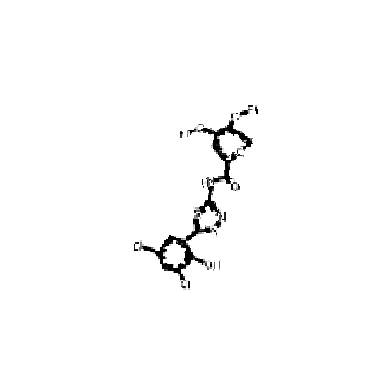 CCOc1ccc(C(=O)Nc2nnc(-c3cc(Cl)cc(Cl)c3O)s2)cc1OCC